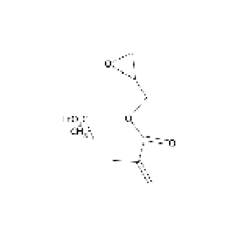 C=C(C)C(=O)OCC1CO1.CCOC(C)=O.[CH3]